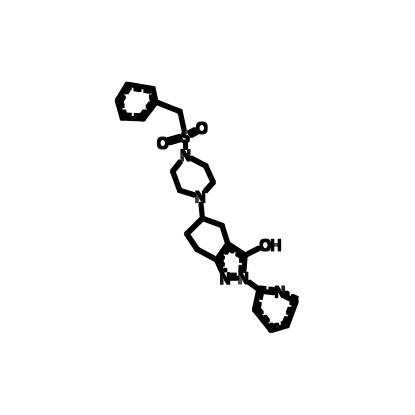 O=S(=O)(Cc1ccccc1)N1CCN(C2CCc3nn(-c4ccccn4)c(O)c3C2)CC1